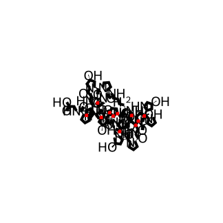 NCCCC[C@H](NC(=O)[C@@H]1C[C@@H](O)CN1C(=O)CNC(=O)[C@@H]1CCCN1C(=O)[C@@H]1C[C@@H](O)CN1C(=O)CNC(=O)[C@@H]1CCCN1C(=O)[C@@H]1C[C@@H](O)CN1C(=O)CNC(=O)[C@@H]1CCCN1C(=O)[C@@H]1C[C@@H](O)CN1)C(=O)NCC(=O)N1C[C@H](O)C[C@H]1C(=O)N1CCC[C@H]1C(=O)NCC(=O)N1C[C@H](O)C[C@H]1C(=O)N1CCC[C@H]1C(=O)NCC(=O)N1C[C@H](O)C[C@H]1C(=O)N1CCC[C@H]1C(=O)NCC(=O)O